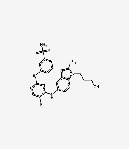 Cc1nc2cc(Nc3nc(Nc4cccc(S(N)(=O)=O)c4)ncc3F)ccc2n1CCCO